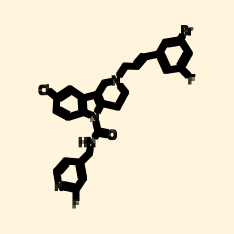 O=C(NCc1ccnc(F)c1)n1c2c(c3cc(Cl)ccc31)CN(C/C=C/c1cc(F)cc(Br)c1)CC2